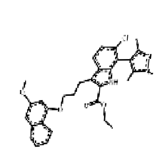 CCOC(=O)c1[nH]c2c(-c3c(C)nn(C)c3C)c(Cl)ccc2c1CCCOc1cc(OC)cc2ccccc12